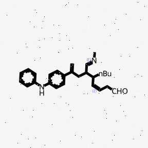 C=C(CC(/C=N/C)C(/C=C\CC=O)CCCC)c1ccc(Nc2ccccc2)cc1